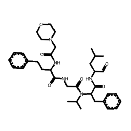 CC(C)CC(C=O)NC(=O)C(Cc1ccccc1)N(C(=O)CNC(=O)C(CCc1ccccc1)NC(=O)CN1CCOCC1)C(C)C